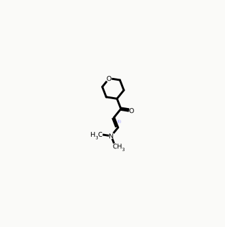 CN(C)/C=C/C(=O)C1CCOCC1